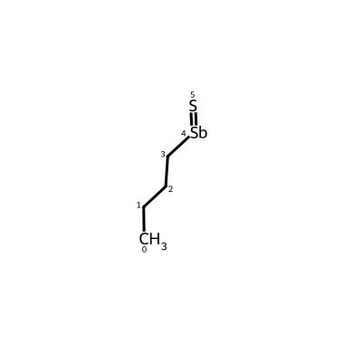 CCC[CH2][Sb]=[S]